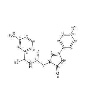 CCC(NC(=O)Cn1nc(-c2ccc(Cl)cc2)[nH]c1=O)c1cccc(C(F)(F)F)c1